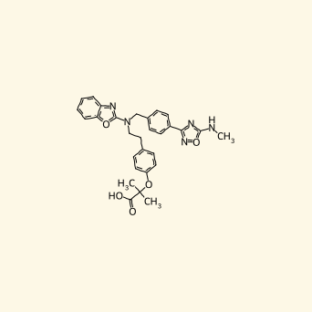 CNc1nc(-c2ccc(CN(CCc3ccc(OC(C)(C)C(=O)O)cc3)c3nc4ccccc4o3)cc2)no1